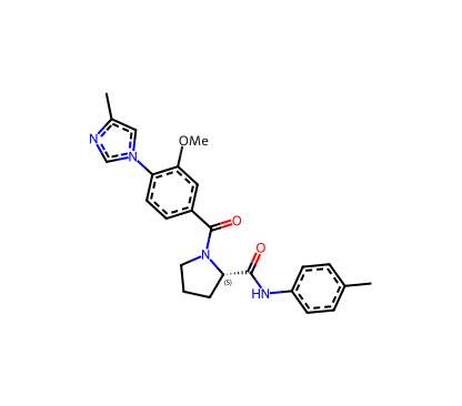 COc1cc(C(=O)N2CCC[C@H]2C(=O)Nc2ccc(C)cc2)ccc1-n1cnc(C)c1